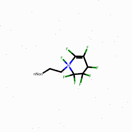 CCCCCCCCCCC[N+]1(F)C(F)=C(F)C(F)C(F)(F)C1(F)F